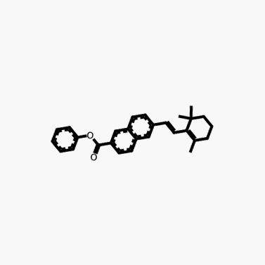 CC1=C(C=Cc2ccc3cc(C(=O)Oc4ccccc4)ccc3c2)C(C)(C)CCC1